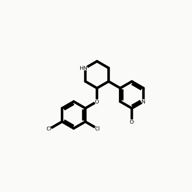 [O]c1cc(C2CCNCC2Oc2ccc(Cl)cc2Cl)ccn1